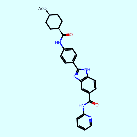 CC(=O)O[C@H]1CC[C@@H](C(=O)Nc2ccc(-c3nc4cc(C(=O)Nc5ccccn5)ccc4[nH]3)cc2)CC1